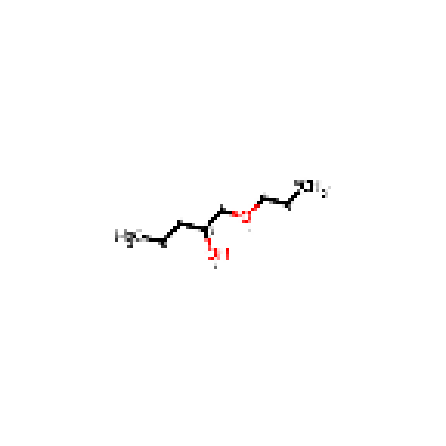 [CH2]CCOCC(O)CCC